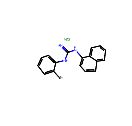 CC(C)c1ccccc1NC(=N)Nc1cccc2ccccc12.Cl